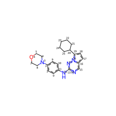 c1cc(N2CCOCC2)ccc1Nc1ncc2ccc(C3CCCCC3)n2n1